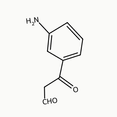 Nc1cccc(C(=O)CC=O)c1